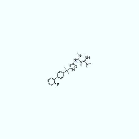 CN(C)C(=N)N/C(=N\c1cc(C(C)(C)c2ccc(-c3ccccc3F)cc2)no1)N(C)C